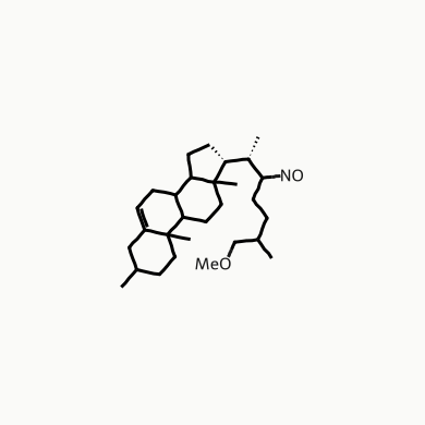 COCC(C)CCC(N=O)[C@@H](C)[C@H]1CCC2C3CC=C4CC(C)CCC4(C)C3CCC21C